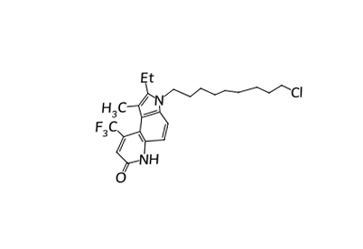 CCc1c(C)c2c3c(C(F)(F)F)cc(=O)[nH]c3ccc2n1CCCCCCCCCCl